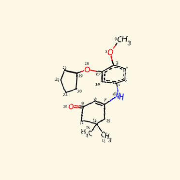 COc1ccc(NC2=CC(=O)CC(C)(C)C2)cc1OC1CCCC1